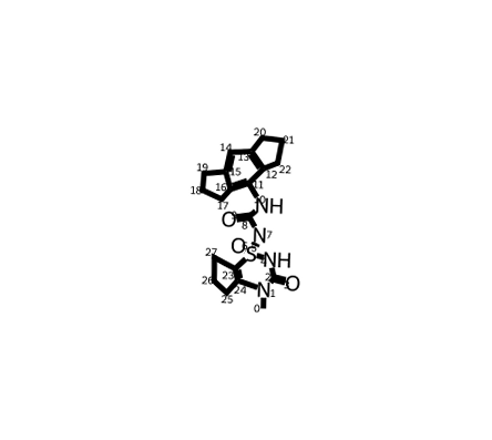 CN1C(=O)NS(=O)(=NC(=O)Nc2c3c(cc4c2CCC4)CCC3)C2=C1CCC2